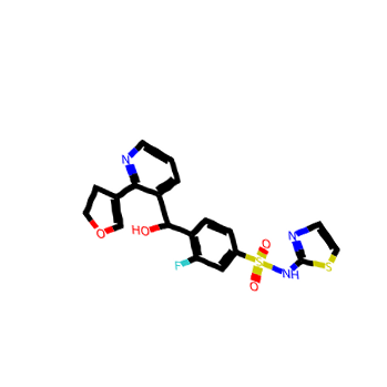 O=S(=O)(Nc1nccs1)c1ccc(C(O)c2cccnc2C2=COCC2)c(F)c1